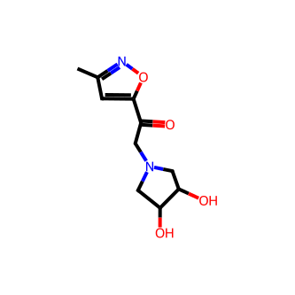 Cc1cc(C(=O)CN2CC(O)C(O)C2)on1